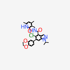 Cc1cc(C)c(CNC(=O)c2c(Cl)c(-c3ccc4c(c3)OCCO4)cc3c2cnn3C(C)C)c(=O)[nH]1